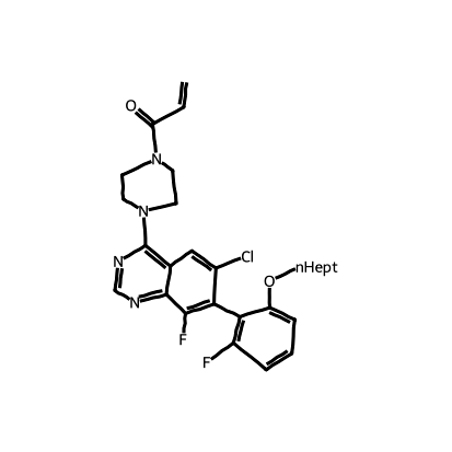 C=CC(=O)N1CCN(c2ncnc3c(F)c(-c4c(F)cccc4OCCCCCCC)c(Cl)cc23)CC1